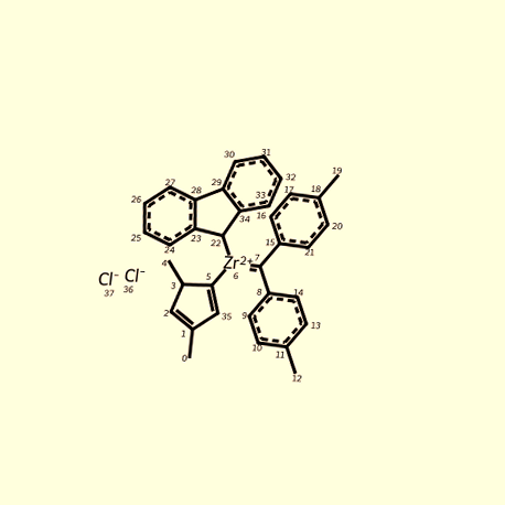 CC1=CC(C)[C]([Zr+2](=[C](c2ccc(C)cc2)c2ccc(C)cc2)[CH]2c3ccccc3-c3ccccc32)=C1.[Cl-].[Cl-]